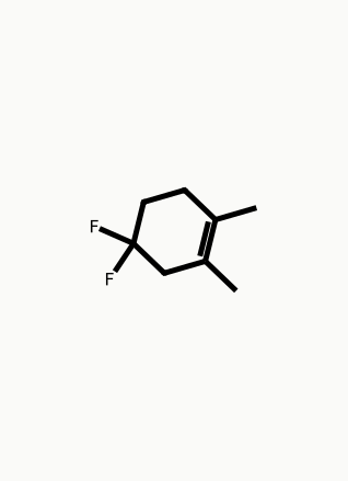 CC1=C(C)CC(F)(F)CC1